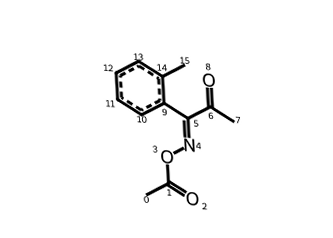 CC(=O)O/N=C(/C(C)=O)c1ccccc1C